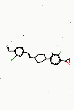 C=Cc1ccc(/C=C/C2CCC(c3ccc(C4CO4)c(F)c3F)CC2)cc1F